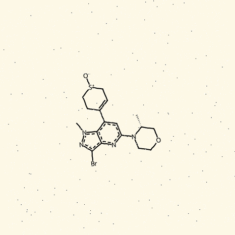 C[C@@H]1COCCN1c1cc(C2=CC[S+]([O-])CC2)c2c(n1)c(Br)nn2C